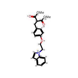 COC(=O)C(Cc1ccc(OCCn2ccc3ccccc32)cc1)C(=O)OC